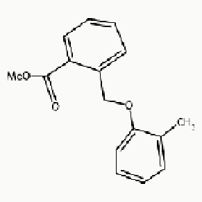 COC(=O)c1ccccc1COc1ccccc1C